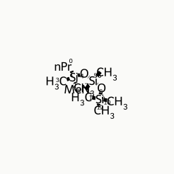 CCC[Si](C)(C)O[Si](C)(NC)O[Si](C)(C)C